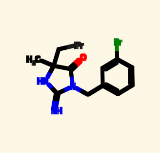 CC(C)CC1(C)NC(=N)N(Cc2cccc(Br)c2)C1=O